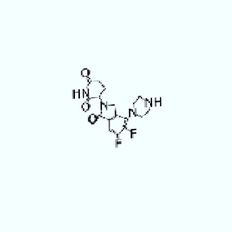 O=C1CCC(N2Cc3c(cc(F)c(F)c3N3CCNCC3)C2=O)C(=O)N1